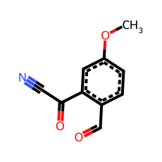 COc1ccc(C=O)c(C(=O)C#N)c1